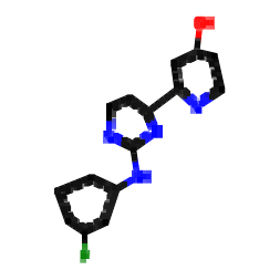 Oc1ccnc(-c2ccnc(Nc3cccc(F)c3)n2)c1